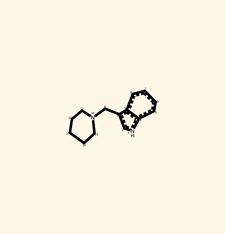 [CH](c1c[nH]c2ccccc12)N1CCCCC1